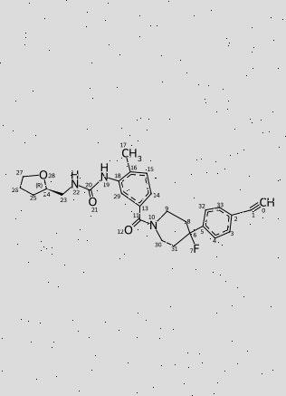 C#Cc1ccc(C2(F)CCN(C(=O)c3ccc(C)c(NC(=O)NC[C@H]4CCCO4)c3)CC2)cc1